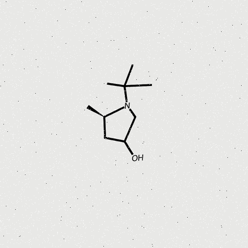 C[C@@H]1CC(O)CN1C(C)(C)C